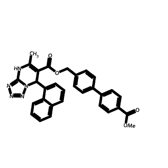 COC(=O)c1ccc(-c2ccc(COC(=O)C3=C(C)Nc4nnnn4C3c3cccc4ccccc34)cc2)cc1